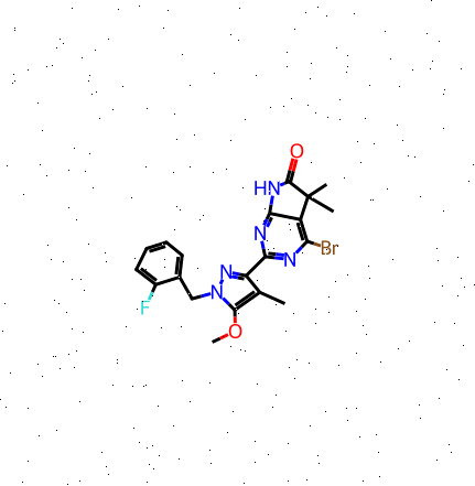 COc1c(C)c(-c2nc(Br)c3c(n2)NC(=O)C3(C)C)nn1Cc1ccccc1F